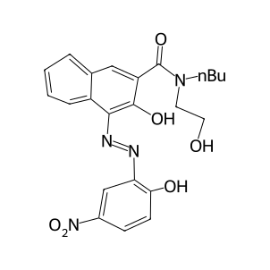 CCCCN(CCO)C(=O)c1cc2ccccc2c(N=Nc2cc([N+](=O)[O-])ccc2O)c1O